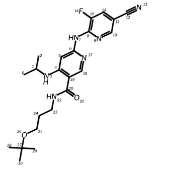 CC(C)Nc1cc(Nc2ncc(C#N)cc2F)ncc1C(=O)NCCCOC(C)(C)C